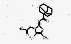 Cc1s/c(=N\C(=O)C23CC4CC(CC(C4)C2)C3)n(CC(=O)O)c1C